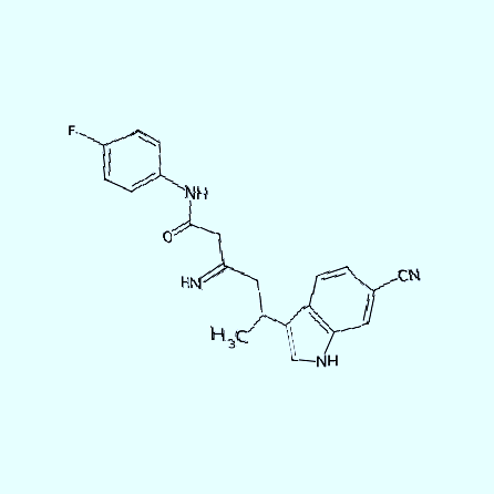 CC(CC(=N)CC(=O)Nc1ccc(F)cc1)c1c[nH]c2cc(C#N)ccc12